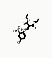 CCOC(=O)C(=CNc1ccc(Cl)cc1[N+](=O)[O-])C(=O)OCC